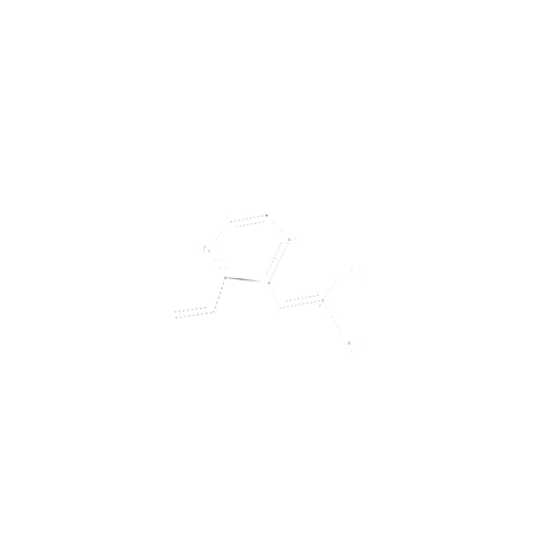 C=Cc1ncccc1C=C(CCC)C(=O)O